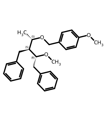 COc1ccc(CO[C@@H](C)[C@H](Cc2ccccc2)[C@@H](Cc2ccccc2)OC)cc1